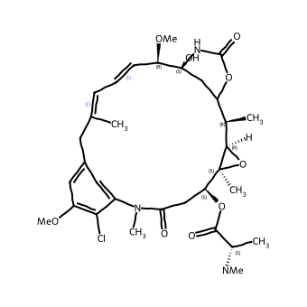 CN[C@@H](C)C(=O)O[C@H]1CC(=O)N(C)c2cc(cc(OC)c2Cl)C/C(C)=C/C=C/[C@@H](OC)[C@@]2(O)CC(OC(=O)N2)[C@@H](C)[C@H]2O[C@@]12C